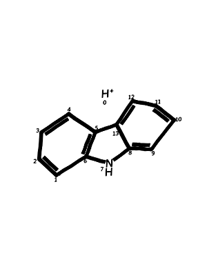 [H+].[c]1cccc2c1[nH]c1ccccc12